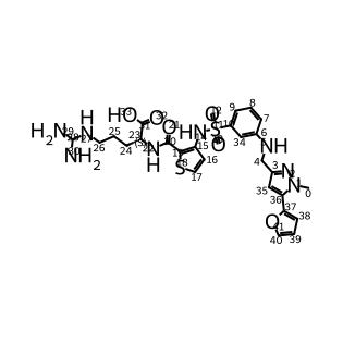 Cn1nc(CNc2cccc(S(=O)(=O)Nc3ccsc3C(=O)N[C@@H](CCCNC(N)N)C(=O)O)c2)cc1-c1ccco1